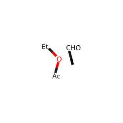 CC=O.CCOC(C)=O